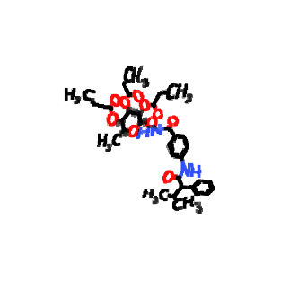 CCC(=O)O[C@H]1[C@H](OC(=O)CC)[C@H](ONC(=O)c2ccc(NC(=O)C(c3ccccc3)C(C)C)cc2)O[C@@H](C)[C@H]1OC(=O)CC